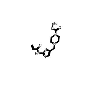 C=CC(=O)Nc1ncc(CN2CCN(C(=O)OC(C)(C)C)CC2)s1